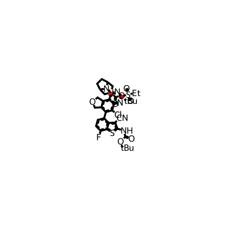 CCS(=O)(=O)c1nc(N2C3CCC2CN(C(=O)OC(C)(C)C)C3)c2c3c(c(-c4ccc(F)c5sc(NC(=O)OC(C)(C)C)c(C#N)c45)c(Cl)c2n1)COC3